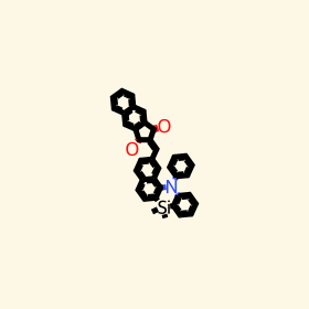 C[Si]1(C)c2ccccc2N(c2ccccc2)c2c1ccc1ccc(C=C3C(=O)c4cc5ccccc5cc4C3=O)cc21